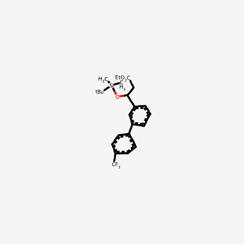 CCOC(=O)CC(O[Si](C)(C)C(C)(C)C)c1cccc(-c2ccc(C(F)(F)F)cc2)c1